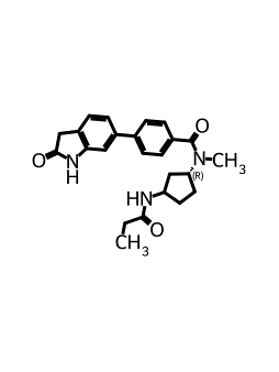 CCC(=O)NC1CC[C@@H](N(C)C(=O)c2ccc(-c3ccc4c(c3)NC(=O)C4)cc2)C1